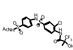 CC(=O)NS(=O)(=O)c1ccc(NS(=O)(=O)c2ccc(NC(=O)[C@@](C)(O)C(F)(F)F)c(Cl)c2)cc1